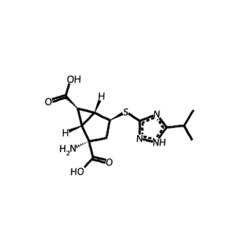 CC(C)c1nc(S[C@H]2C[C@@](N)(C(=O)O)[C@@H]3[C@@H](C(=O)O)[C@@H]32)n[nH]1